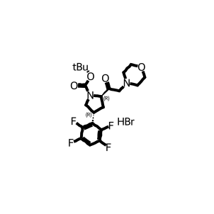 Br.CC(C)(C)OC(=O)N1C[C@@H](c2c(F)c(F)cc(F)c2F)C[C@@H]1C(=O)CN1CCOCC1